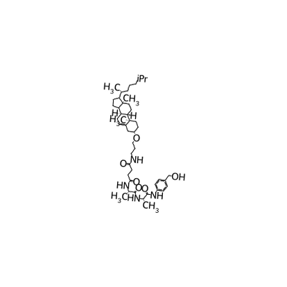 CC(C)CCC[C@@H](C)C1CCC2[C@@H]3CC=C4C[C@@H](OCCCNC(=O)CCC(=O)N[C@@H](C)C(=O)N[C@@H](C)C(=O)Nc5ccc(CO)cc5)CC[C@]4(C)[C@H]3CC[C@]12C